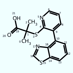 CC(C)(Sc1ncccc1-c1cccc2scnc12)C(=O)O